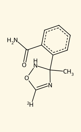 [2H]C1=NC(C)(c2ccccc2C(N)=O)NO1